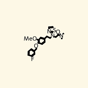 COc1cc(CCN(CC(=O)N(C)C)c2nccs2)ccc1OCc1cccc(F)c1